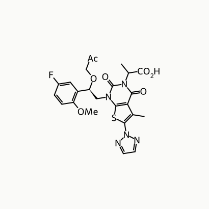 COc1ccc(F)cc1[C@H](Cn1c(=O)n(C(C)C(=O)O)c(=O)c2c(C)c(-n3nccn3)sc21)OCC(C)=O